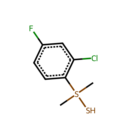 CS(C)(S)c1ccc(F)cc1Cl